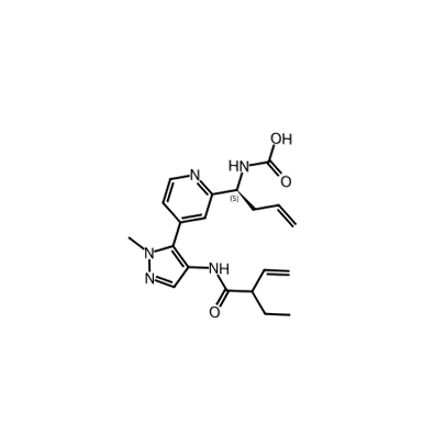 C=CC[C@H](NC(=O)O)c1cc(-c2c(NC(=O)C(C=C)CC)cnn2C)ccn1